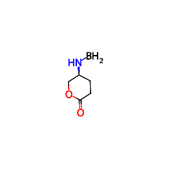 BN[C@H]1CCC(=O)OC1